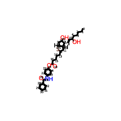 CCCCC[C@H](O)/C=C/[C@@H]1[C@H]2CC(CCCCC(=O)Oc3ccc(NC(=O)c4ccccc4)cc3)S[C@@H]2C[C@H]1O